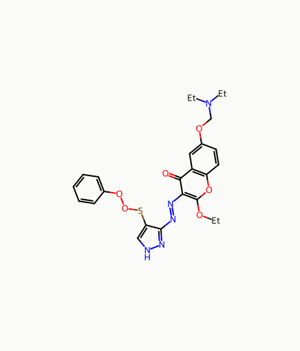 CCOc1oc2ccc(OCN(CC)CC)cc2c(=O)c1/N=N/c1n[nH]cc1SOOc1ccccc1